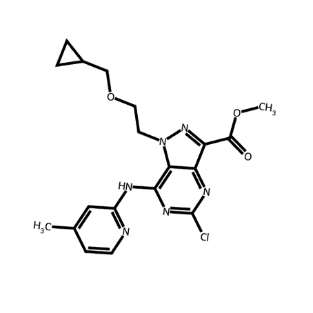 COC(=O)c1nn(CCOCC2CC2)c2c(Nc3cc(C)ccn3)nc(Cl)nc12